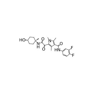 Cc1c(C(=O)Nc2ccc(F)c(F)c2)c(C)n(C)c1C(=O)C(=O)N[C@]1(C)CC[C@@H](O)CC1